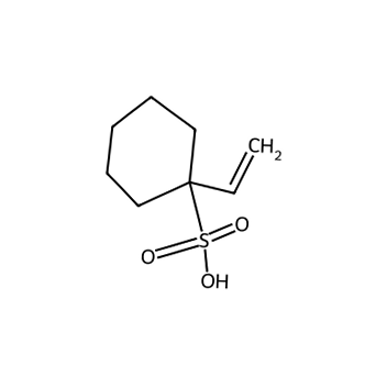 C=CC1(S(=O)(=O)O)CCCCC1